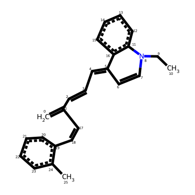 C=C(C=CC=C1C=CN(CC)c2ccccc21)/C=C\c1ccccc1C